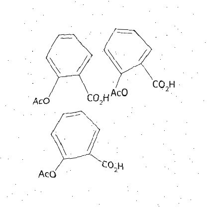 CC(=O)Oc1ccccc1C(=O)O.CC(=O)Oc1ccccc1C(=O)O.CC(=O)Oc1ccccc1C(=O)O